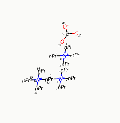 CCC[N+](CCC)(CCC)CCC.CCC[N+](CCC)(CCC)CCC.CCC[N+](CCC)(CCC)CCC.[O-]B([O-])[O-]